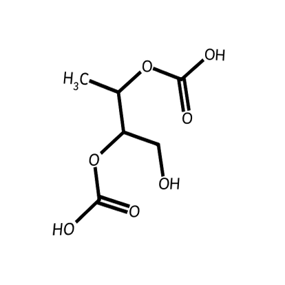 CC(OC(=O)O)C(CO)OC(=O)O